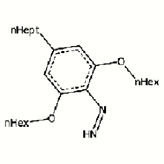 CCCCCCCc1cc(OCCCCCC)c(N=N)c(OCCCCCC)c1